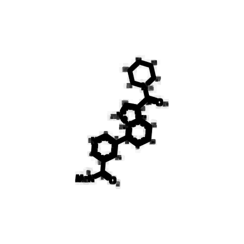 CNC(=O)c1cncc(-c2cccc3c(C(=O)N4CCCCC4)cnn23)c1